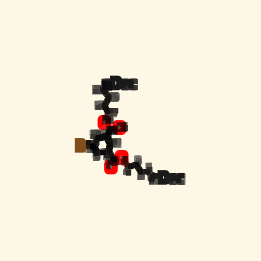 CCCCCCCCCCCCCCOC(=O)c1cc(Br)cc(C(=O)OCCCCCCCCCCCCCC)c1